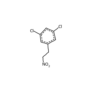 O=[N+]([O-])CCc1cc(Cl)cc(Cl)c1